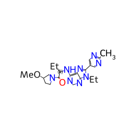 CC[C@@H](Nc1ncnc2c1nc(-c1cnc(C)nc1)n2CC)C(=O)N1CCC(OC)C1